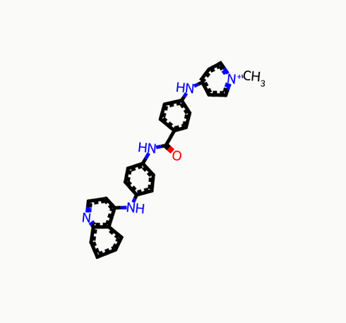 C[n+]1ccc(Nc2ccc(C(=O)Nc3ccc(Nc4ccnc5ccccc45)cc3)cc2)cc1